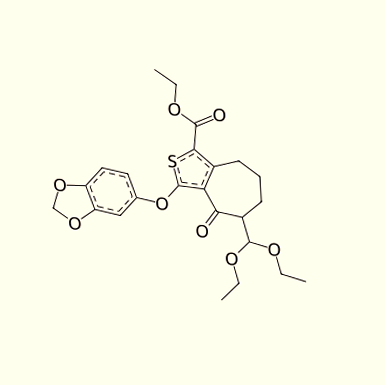 CCOC(=O)c1sc(Oc2ccc3c(c2)OCO3)c2c1CCCC(C(OCC)OCC)C2=O